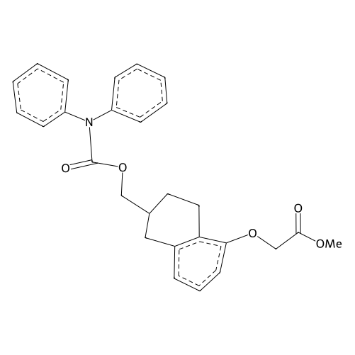 COC(=O)COc1cccc2c1CCC(COC(=O)N(c1ccccc1)c1ccccc1)C2